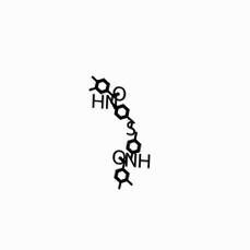 Cc1ccc(C(=O)Nc2ccc(CSCc3ccc(NC(=O)c4ccc(C)c(C)c4)cc3)cc2)cc1C